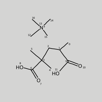 CC(CC(C)(C)C(=O)O)C(=O)O.C[N+](C)(C)C